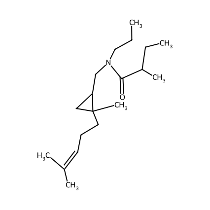 CCCN(CC1CC1(C)CCC=C(C)C)C(=O)C(C)CC